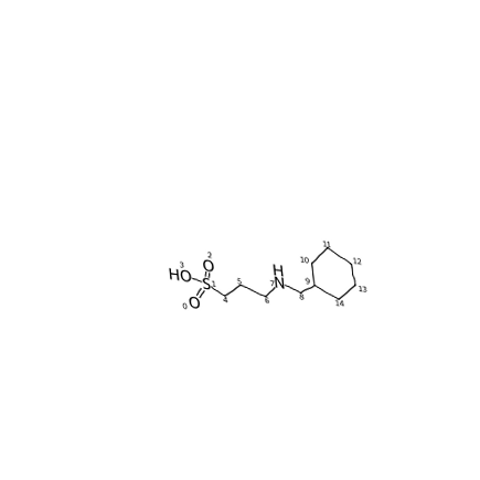 O=S(=O)(O)CCCNCC1CCCCC1